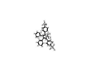 CC[Si]1(CC)C(c2ccc([Si](C)(C)C)nc2)=C(c2ccccc2)C(c2ccccc2)=C1c1ccc([Si](C)(C)C)nc1